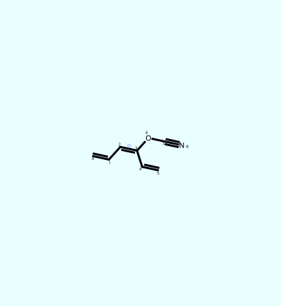 C=C/C=C(\C=C)OC#N